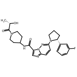 C[C@H](O)C(=O)N1CCC(NC(=O)c2cnc3ccc(N4CCC[C@@H]4c4cccc(F)c4)nn23)CC1